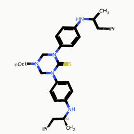 CCCCCCCCN1CN(c2ccc(NC(C)CC(C)C)cc2)C(=S)N(c2ccc(N[C@@H](C)CC(C)C)cc2)C1